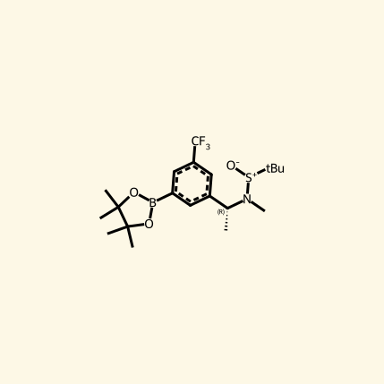 C[C@H](c1cc(B2OC(C)(C)C(C)(C)O2)cc(C(F)(F)F)c1)N(C)[S+]([O-])C(C)(C)C